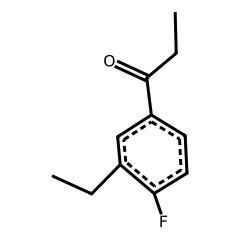 CCC(=O)c1ccc(F)c(CC)c1